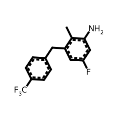 Cc1c(N)cc(F)cc1Cc1ccc(C(F)(F)F)cc1